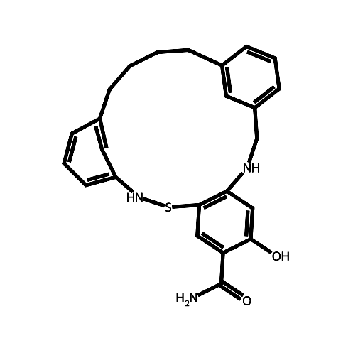 NC(=O)c1cc2c(cc1O)NCc1cccc(c1)CCCCc1cccc(c1)NS2